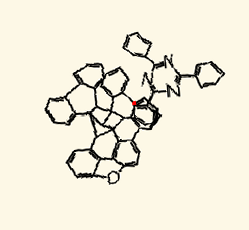 c1ccc(-c2nc(-c3ccccc3)nc(-c3ccc(-c4ccc5oc6cccc7c6c5c4C45C6c8ccccc8-c8ccccc8C68C6c9ccccc9-c9ccccc9C6(C74)C85)cc3)n2)cc1